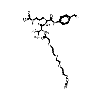 CC(C)[C@H](NC(=O)COCCOCCOCCN=[N+]=[N-])C(=O)N[C@@H](CCCNC(N)=O)C(=O)Nc1ccc(CBr)cc1